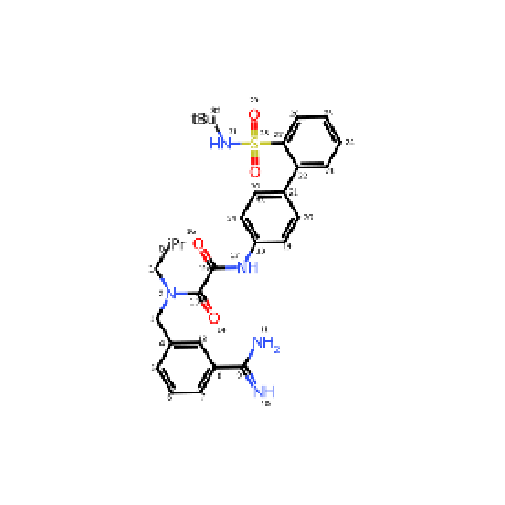 CC(C)CN(Cc1cccc(C(=N)N)c1)C(=O)C(=O)Nc1ccc(-c2ccccc2S(=O)(=O)NC(C)(C)C)cc1